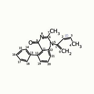 C=C(/C=C\C)n1c(C)nc(=O)c2c(-c3ccccc3)cccc21